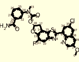 COc1cnc2c(-c3nc4cc(F)c5c(c4s3)C[C@@H](OC(=O)N(C)c3cccc(C(N)=O)c3)O5)cc(Cl)cc2c1